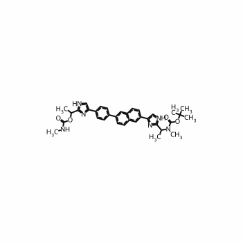 CNC(=O)OC(C)c1nc(-c2ccc(-c3ccc4cc(-c5c[nH]c(C(C)N(C)C(=O)OC(C)(C)C)n5)ccc4c3)cc2)c[nH]1